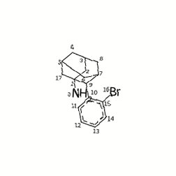 NC12CC3CC(CC(C3)C1c1ccccc1Br)C2